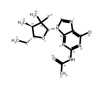 CC[C@H]1O[C@@H](n2cnc3c(Cl)nc(NC(C)=O)nc32)C(C)(F)[C@@H]1C